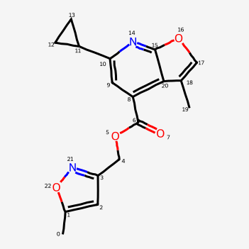 Cc1cc(COC(=O)c2cc(C3CC3)nc3occ(C)c23)no1